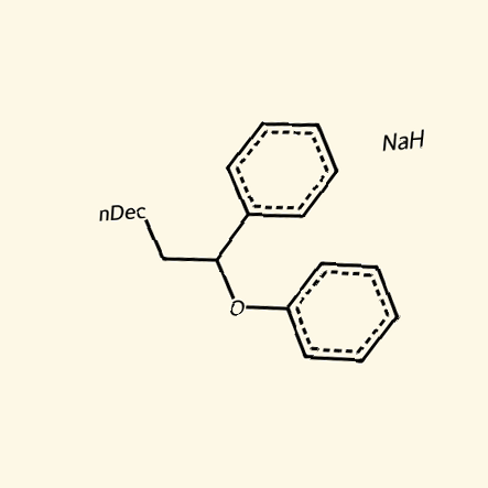 CCCCCCCCCCCC(Oc1ccccc1)c1ccccc1.[NaH]